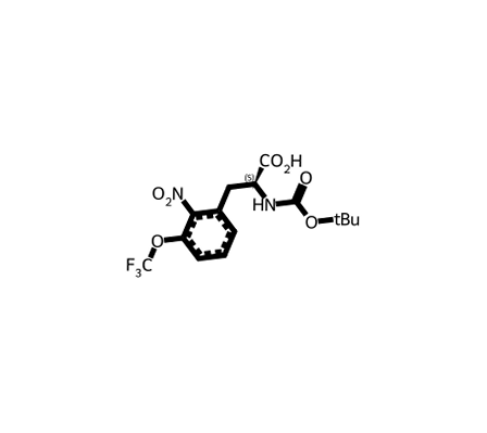 CC(C)(C)OC(=O)N[C@@H](Cc1cccc(OC(F)(F)F)c1[N+](=O)[O-])C(=O)O